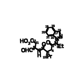 CCN(C(=O)CC(C(=O)NC(C=O)CC(=O)O)C(C)C)n1ncc2ccccc21